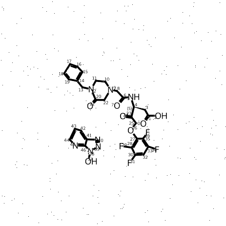 O=C(O)C[C@H](NC(=O)CN1CCN(Cc2ccccc2)C(=O)C1)C(=O)COc1c(F)c(F)cc(F)c1F.On1nnc2cccnc21